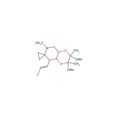 COC1(C)OC2CN(C(=O)O)C3(CC3)C(C=CF)C2OC1(C)OC